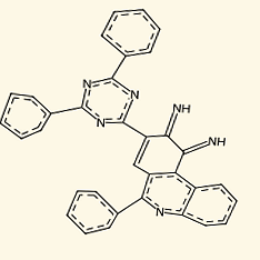 N=C1C(=N)c2c(c(-c3ccccc3)nc3ccccc23)C=C1c1nc(-c2ccccc2)nc(-c2ccccc2)n1